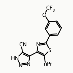 CCCc1sc(-c2cccc(OC(F)(F)F)c2)nc1-c1nn[nH]c1C#N